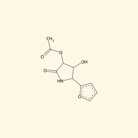 CC(=O)OC1C(=O)NC(c2ccco2)C1O